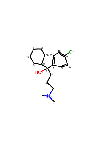 CN(C)CCCC(O)(c1ccc(Cl)cc1)C1CCCCC1